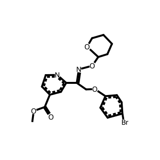 COC(=O)c1ccnc(/C(COc2ccc(Br)cc2)=N/OC2CCCCO2)c1